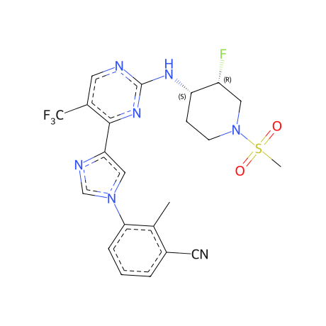 Cc1c(C#N)cccc1-n1cnc(-c2nc(N[C@H]3CCN(S(C)(=O)=O)C[C@H]3F)ncc2C(F)(F)F)c1